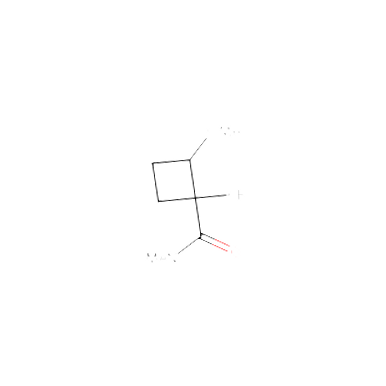 CNC(=O)C1(C(F)(F)F)CCC1OC